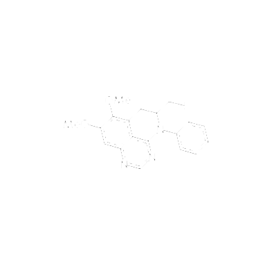 COc1cc2ncnc3c2c(c1OC)CC(CI)N3c1ccccc1